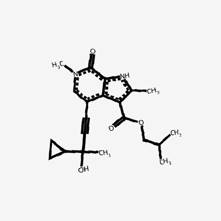 Cc1[nH]c2c(=O)n(C)cc(C#CC(C)(O)C3CC3)c2c1C(=O)OCC(C)C